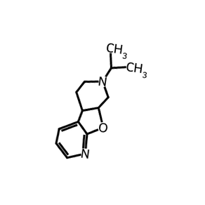 CC(C)N1CCC2c3cccnc3OC2C1